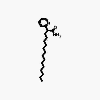 CCCCCCCCCCCCCCC(C(N)=O)c1ccccn1